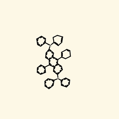 C1=CCCC(c2c3cc(N(C4=CC=CCC4)c4ccccc4)ccc3c(-c3ccccc3)c3cc(N(c4ccccc4)c4ccccc4)ccc23)=C1